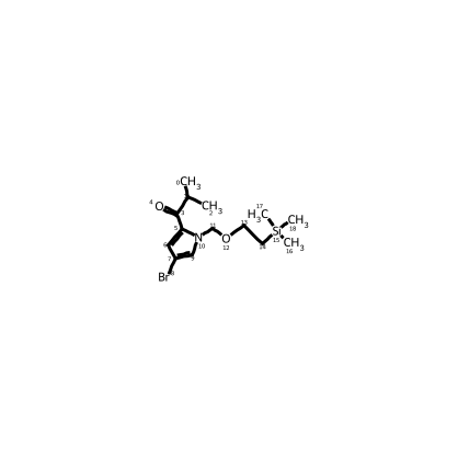 CC(C)C(=O)c1cc(Br)cn1COCC[Si](C)(C)C